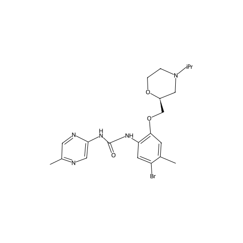 Cc1cnc(NC(=O)Nc2cc(Br)c(C)cc2OC[C@@H]2CN(C(C)C)CCO2)cn1